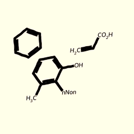 C=CC(=O)O.CCCCCCCCCc1c(C)cccc1O.c1ccccc1